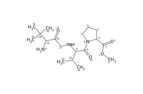 COC(=O)C1CCCN1C(=O)C(NCC(=O)C(N)C(C)(C)C)C(C)C